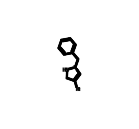 CCC1=CN(Cc2ccccc2)NC1